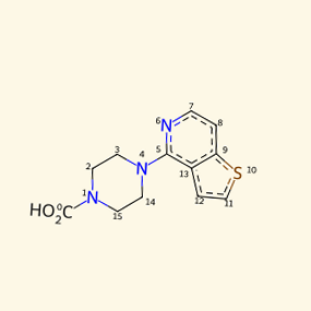 O=C(O)N1CCN(c2nccc3sccc23)CC1